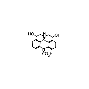 O=C(O)N1c2ccccc2Sc2ccccc21.OCCNCCO